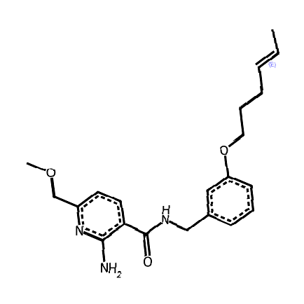 C/C=C/CCCOc1cccc(CNC(=O)c2ccc(COC)nc2N)c1